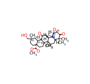 COC(=O)[C@]12CC[C@](C)(CO)C[C@H]1[C@H]1C(=O)C=C3[C@@]4(C)[C@H]5O[C@@]5(C#N)C(=O)C(C)(C)[C@@H]4CC[C@@]3(C)[C@]1(C)CC2